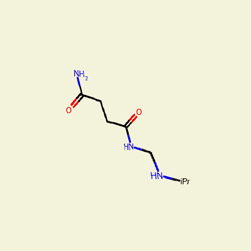 CC(C)NCNC(=O)CCC(N)=O